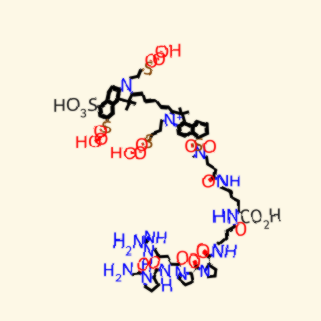 CN(CCCC(=O)NCCCC[C@H](NC(=O)CCCNC(=O)[C@@H]1CCCN1C(=O)[C@@H]1CCCN1C(=O)[C@H](CCCNC(=N)N)NC(=O)C1CCCN1C(=O)CN)C(=O)O)S(=O)(=O)c1cccc2c3c(ccc12)[N+](CCCSOOO)=C(/C=C/C=C/C=C1/N(CCCSOOO)c2ccc4c(S(=O)(=O)O)cc(SOOO)cc4c2C1(C)C)C3(C)C